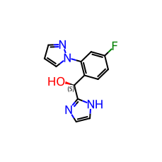 O[C@H](c1ncc[nH]1)c1ccc(F)cc1-n1cccn1